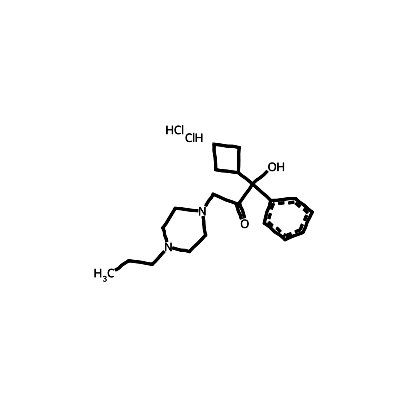 CCCN1CCN(CC(=O)C(O)(c2ccccc2)C2CCC2)CC1.Cl.Cl